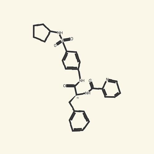 O=C(N[C@@H](Cc1ccccc1)C(=O)Nc1ccc(S(=O)(=O)NC2CCCC2)cc1)c1ccccn1